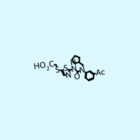 CC(=O)c1cccc(N(CC2CCCC2)C(=O)Nc2ncc(SCC(=O)O)s2)c1